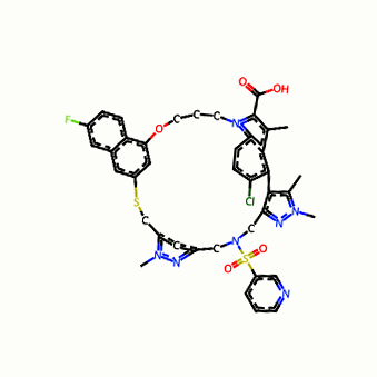 Cc1c(C(=O)O)n2c3ccc(Cl)c(c13)-c1c(nn(C)c1C)CN(S(=O)(=O)c1cccnc1)Cc1cc(n(C)n1)CSc1cc(c3ccc(F)cc3c1)OCCC2